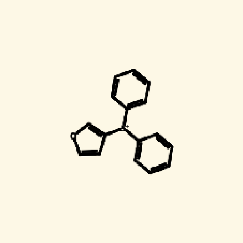 c1ccc([S+](c2ccccc2)c2ccoc2)cc1